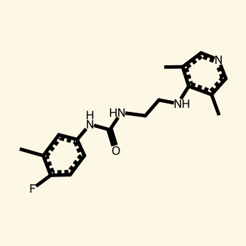 Cc1cc(NC(=O)NCCNc2c(C)cncc2C)ccc1F